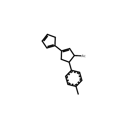 CC(=O)C1C=C(C2=CC=CC2)CC1c1ccc(C)cc1